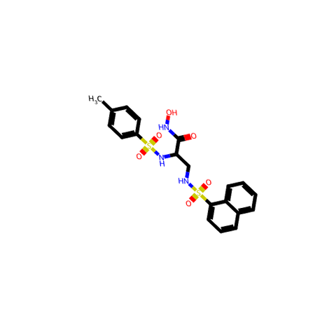 Cc1ccc(S(=O)(=O)NC(CNS(=O)(=O)c2cccc3ccccc23)C(=O)NO)cc1